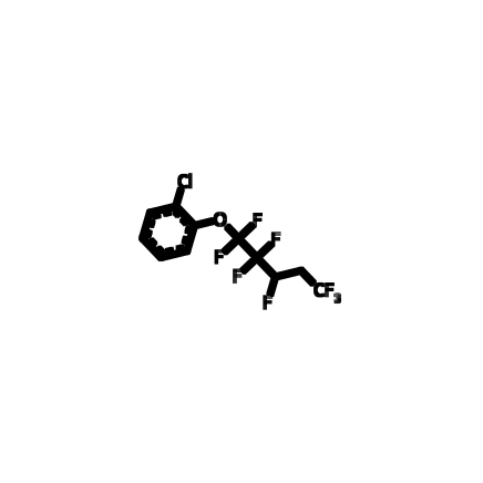 FC(CC(F)(F)F)C(F)(F)C(F)(F)Oc1ccccc1Cl